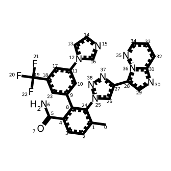 Cc1ccc(C(N)=O)c(-c2cc(-n3ccnc3)cc(C(F)(F)F)c2)c1-n1cc(-c2cnc3cccnn23)nn1